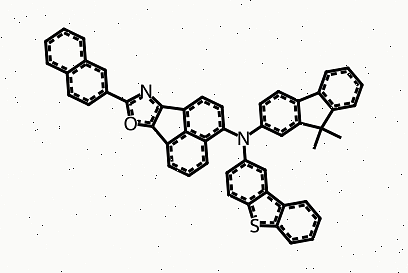 CC1(C)c2ccccc2-c2ccc(N(c3ccc4sc5ccccc5c4c3)c3ccc4c5c(cccc35)-c3oc(-c5ccc6ccccc6c5)nc3-4)cc21